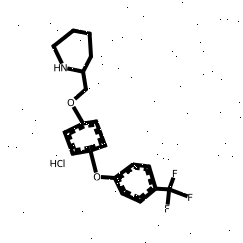 Cl.FC(F)(F)c1ccc(Oc2ccc(OCC3CCCCN3)cc2)cc1